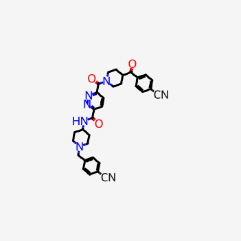 N#Cc1ccc(CN2CCC(NC(=O)c3ccc(C(=O)N4CCC(C(=O)c5ccc(C#N)cc5)CC4)nn3)CC2)cc1